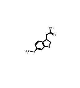 COc1ccc2c(c1)SCC2CC(=O)O